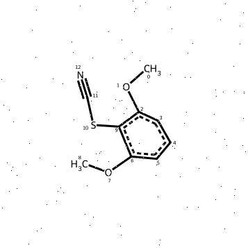 COc1cccc(OC)c1SC#N